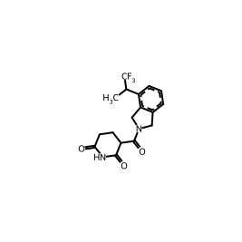 CC(c1cccc2c1CN(C(=O)C1CCC(=O)NC1=O)C2)C(F)(F)F